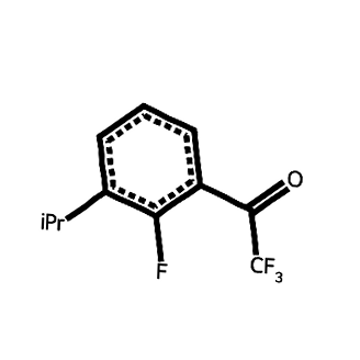 CC(C)c1cccc(C(=O)C(F)(F)F)c1F